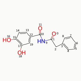 O=C(Cc1ccccc1)NC(=O)c1ccc(O)c(O)c1